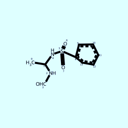 CC(NC=O)NS(=O)(=O)c1ccccc1